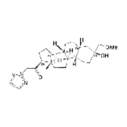 COC[C@]1(O)CC[C@H]2[C@H](CC[C@@H]3[C@@H]2CC[C@]2(C)[C@@H](C(=O)Cn4nccn4)CC[C@@H]32)C1